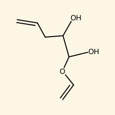 C=CCC(O)C(O)OC=C